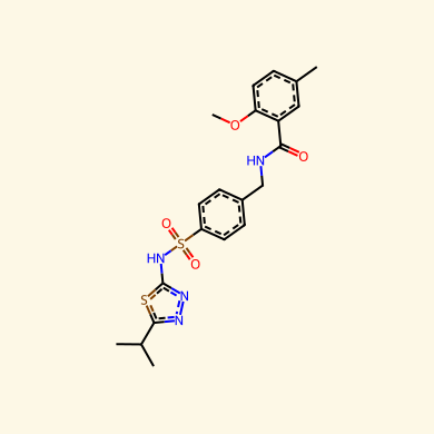 COc1ccc(C)cc1C(=O)NCc1ccc(S(=O)(=O)Nc2nnc(C(C)C)s2)cc1